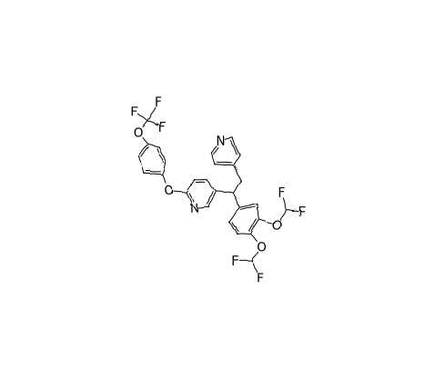 FC(F)Oc1ccc(C(Cc2ccncc2)c2ccc(Oc3ccc(OC(F)(F)F)cc3)nc2)cc1OC(F)F